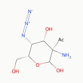 CC(=O)[C@]1(N)C(O)O[C@H](CO)[C@H](N=[N+]=[N-])[C@@H]1O